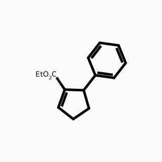 CCOC(=O)C1=CCCC1c1ccccc1